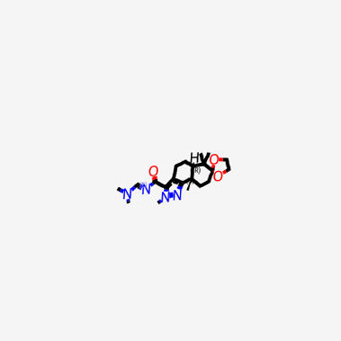 CN(C)/C=N/C(=O)c1c2c(nn1C)[C@@]1(C)CCC3(OCCO3)C(C)(C)[C@@H]1CC2